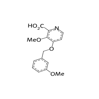 COc1cccc(COc2ccnc(C(=O)O)c2OC)c1